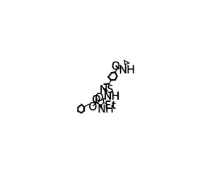 CC[C@@H](C(=N)C(=O)OCc1ccccc1)C(=O)Nc1ncc(-c2ccc(C(=O)NC3CC3)cc2)s1